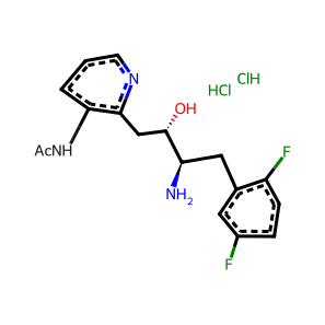 CC(=O)Nc1cccnc1C[C@H](O)[C@H](N)Cc1cc(F)ccc1F.Cl.Cl